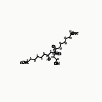 CCCCCCCCCCCCCCCC(=O)C[N+](CC)(CCO)C(=O)CCCCCCCCCCCCCCC